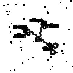 CCCCCCCCCC(=O)OC(CCCCC(CCCCC(CSCCCCCCC)OC(=O)CCCCCCCCC)NCCCCO[Si](c1ccccc1)(c1ccccc1)C(C)(C)C)CSCCCCCCC